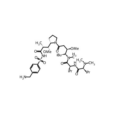 CC[C@H](C)[C@@H]([C@@H](CC(=O)N1CCC[C@H]1[C@H](OC)[C@@H](C)C(=O)NS(=O)(=O)c1ccc(CN)cc1)OC)N(C)C(=O)[C@@H](NC(=O)[C@H](C(C)C)N(C)C)C(C)C